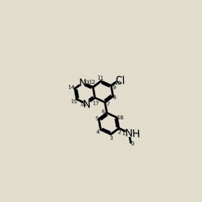 CNc1cccc(-c2cc(Cl)cc3nccnc23)c1